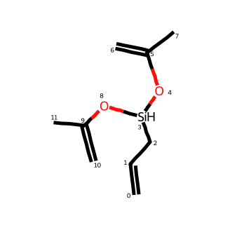 C=CC[SiH](OC(=C)C)OC(=C)C